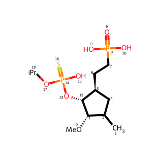 CO[C@H]1C(C)C[C@H](CCP(=O)(O)O)[C@H]1OP(O)(=S)OC(C)C